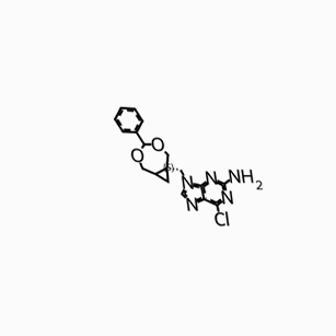 Nc1nc(Cl)c2ncn(C[C@@]34COC(c5ccccc5)OCC3C4)c2n1